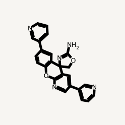 NC1=NC2(CO1)c1cc(-c3cccnc3)ccc1Oc1ncc(-c3cccnc3)cc12